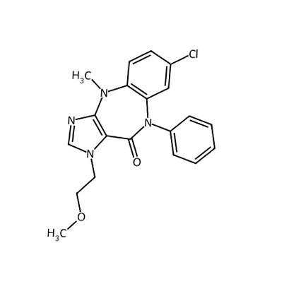 COCCn1cnc2c1C(=O)N(c1ccccc1)c1cc(Cl)ccc1N2C